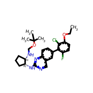 CCOc1ccc(F)c(-c2ccc3nc(N[C@@H]4CCC[C@@H]4NCOC(C)(C)C)ncc3c2)c1Cl